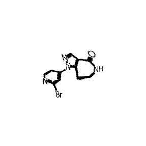 O=C1NCCc2c1cnn2-c1ccnc(Br)c1